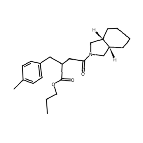 CCCOC(=O)C(CC(=O)N1C[C@H]2CCCC[C@H]2C1)Cc1ccc(C)cc1